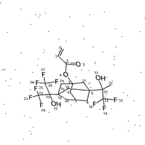 C=CC(=O)OC12CC3CC(C(C)(O)C(F)(F)F)(C1)CC(C(O)(C(F)(F)F)C(F)(F)F)(C3)C2